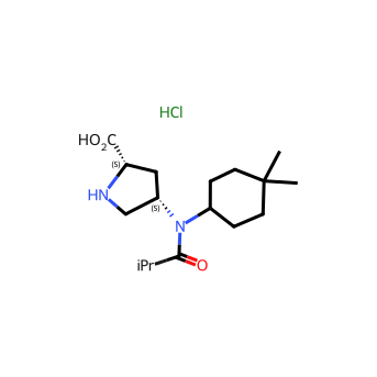 CC(C)C(=O)N(C1CCC(C)(C)CC1)[C@@H]1CN[C@H](C(=O)O)C1.Cl